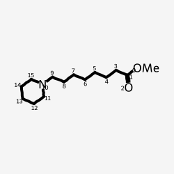 COC(=O)CCCCCCCN1CCCCC1